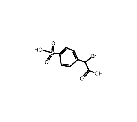 O=C(O)C(Br)c1ccc(S(=O)(=O)O)cc1